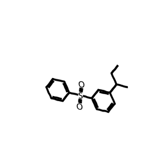 CCC(C)c1cccc(S(=O)(=O)c2ccccc2)c1